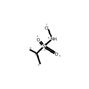 CC(C)S(=O)(=O)NCl